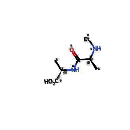 CCN[C@@H](C)C(=O)N[C@@H](C)C(=O)O